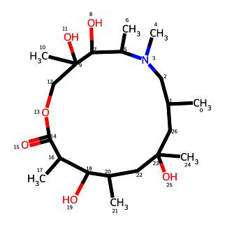 CC1CN(C)C(C)C(O)C(C)(O)COC(=O)C(C)C(O)C(C)CC(C)(O)C1